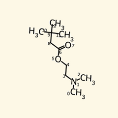 CN(C)CCOC(=O)CC(C)(C)C